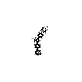 CN1CCN(c2ccc(-c3cc(-c4ccc(-c5cccnc5)cc4)n[nH]3)cc2)CC1